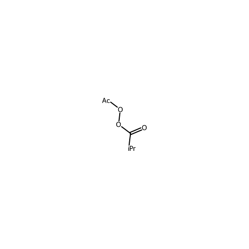 CC(=O)OOC(=O)C(C)C